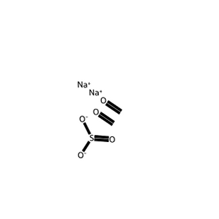 C=O.C=O.O=S([O-])[O-].[Na+].[Na+]